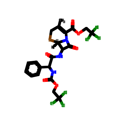 CC1=C(C(=O)OCC(Cl)(Cl)Cl)N2C(=O)C(NC(=O)C(NC(=O)OCC(Cl)(Cl)Cl)c3ccccc3)[C@@H]2SC1